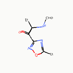 CCc1nc(C(=O)C(CC)NC=O)no1